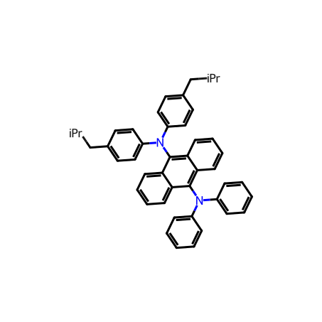 CC(C)Cc1ccc(N(c2ccc(CC(C)C)cc2)c2c3ccccc3c(N(c3ccccc3)c3ccccc3)c3ccccc23)cc1